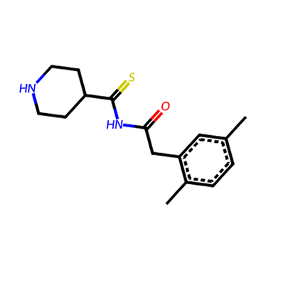 Cc1ccc(C)c(CC(=O)NC(=S)C2CCNCC2)c1